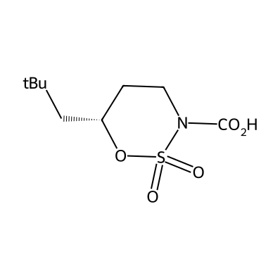 CC(C)(C)C[C@@H]1CCN(C(=O)O)S(=O)(=O)O1